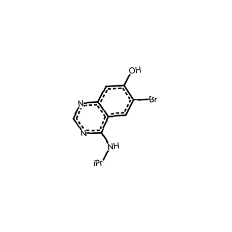 CC(C)Nc1ncnc2cc(O)c(Br)cc12